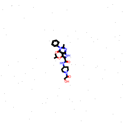 Cc1nc2[nH]c(C(=O)NC3CCN(C(=O)CO)CC3)c(OC(C)C)c2c(=O)n1-c1ccccc1